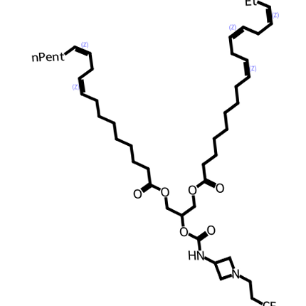 CC/C=C\C/C=C\C/C=C\CCCCCCCC(=O)OCC(COC(=O)CCCCCCC/C=C\C/C=C\CCCCC)OC(=O)NC1CN(CCC(F)(F)F)C1